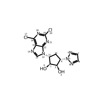 O[C@@H]1[C@H](O)[C@@H](n2nccn2)C[C@H]1n1cnc2c(Cl)nc(Cl)nc21